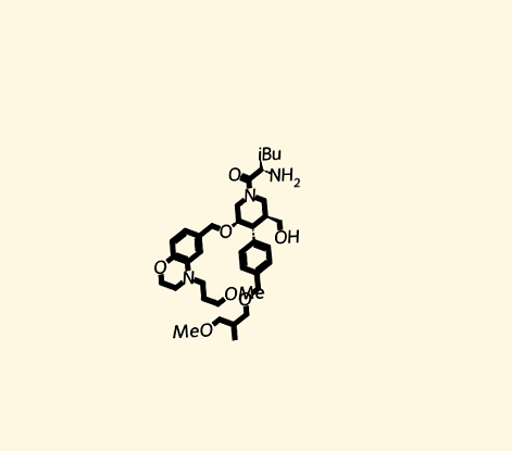 CC[C@H](C)[C@H](N)C(=O)N1C[C@@H](CO)[C@H](c2ccc(COCC(C)COC)cc2)[C@@H](OCc2ccc3c(c2)N(CCCOC)CCO3)C1